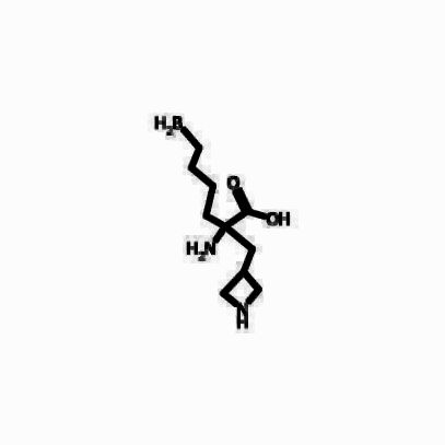 BCCCCC(N)(CC1CNC1)C(=O)O